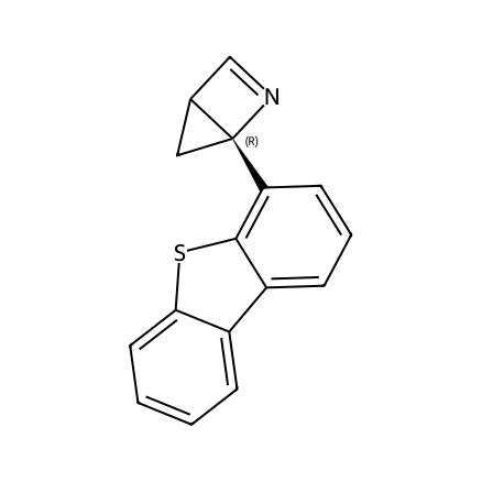 C1=N[C@]2(c3cccc4c3sc3ccccc34)CC12